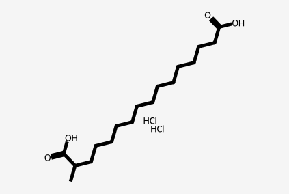 CC(CCCCCCCCCCCCCC(=O)O)C(=O)O.Cl.Cl